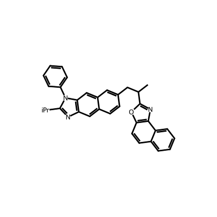 CC(C)c1nc2cc3ccc(CC(C)c4nc5c(ccc6ccccc65)o4)cc3cc2n1-c1ccccc1